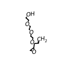 C=CC(OCCOCCOCCO)C1CO1